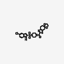 O=C(c1nc2c(s1)CC1(CC2)OCCO1)N1CCN(S(=O)(=O)c2cc3cc(Cl)ccc3[nH]2)CC1